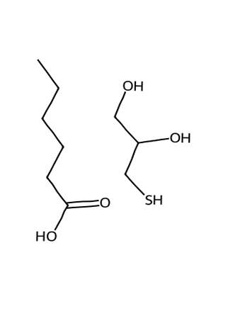 CCCCCC(=O)O.OCC(O)CS